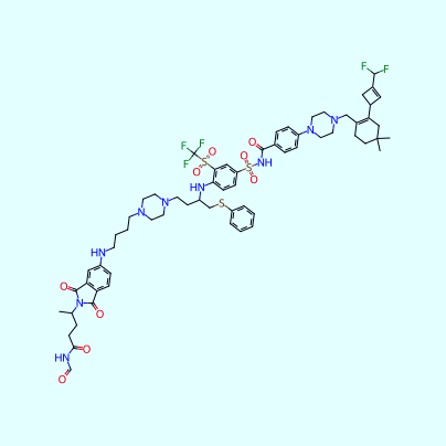 CC(CCC(=O)NC=O)N1C(=O)c2ccc(NCCCCN3CCN(CCC(CSc4ccccc4)Nc4ccc(S(=O)(=O)NC(=O)c5ccc(N6CCN(CC7=C(C8C=C(C(F)F)C8)CC(C)(C)CC7)CC6)cc5)cc4S(=O)(=O)C(F)(F)F)CC3)cc2C1=O